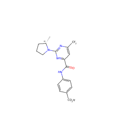 C[C@H]1CCCN1c1nc(C(=O)Nc2ccc(C(=O)O)cc2)cc(C(F)(F)F)n1